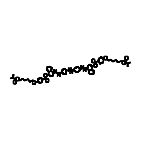 C=C(C)C(=O)OCCCCCCOc1ccc(C(=O)Oc2ccc(N=Nc3ccc(N=Nc4ccc(N=Nc5ccc(OC(=O)c6ccc(OCCCCCCOC(=O)C(=C)C)cc6)c6ccccc56)cc4)cc3)c3ccccc23)cc1